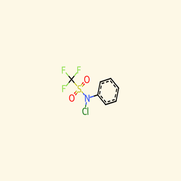 O=S(=O)(N(Cl)c1ccccc1)C(F)(F)F